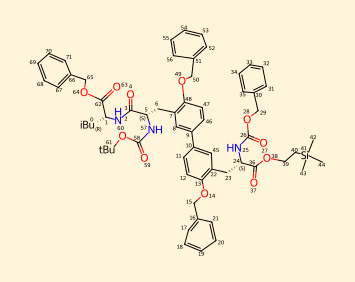 CC[C@@H](C)C(NC(=O)[C@H](Cc1cc(-c2ccc(OCc3ccccc3)c(C[C@H](NC(=O)OCc3ccccc3)C(=O)OCC[Si](C)(C)C)c2)ccc1OCc1ccccc1)NC(=O)OC(C)(C)C)C(=O)OCc1ccccc1